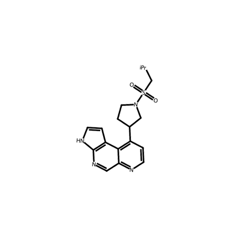 CC(C)CS(=O)(=O)N1CCC(c2ccnc3cnc4[nH]ccc4c23)C1